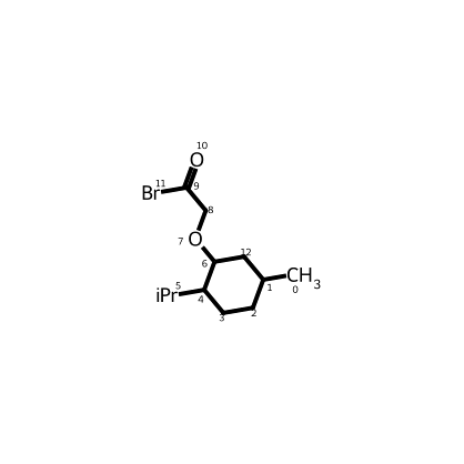 CC1CCC(C(C)C)C(OCC(=O)Br)C1